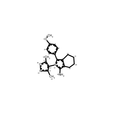 COc1ccc(-c2c3c(c(N)n2-c2c(C)noc2C)CCCC3)cc1